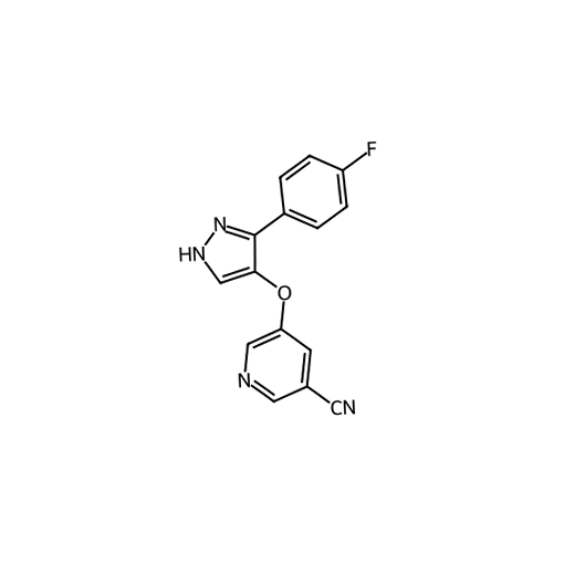 N#Cc1cncc(Oc2c[nH]nc2-c2ccc(F)cc2)c1